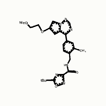 COCCOc1cc2c(-c3ccc(CNC(=O)c4noc(C(C)(C)C)n4)c(C)c3)ncnn2c1